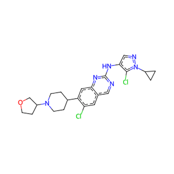 Clc1cc2cnc(Nc3cnn(C4CC4)c3Cl)nc2cc1C1CCN(C2CCOC2)CC1